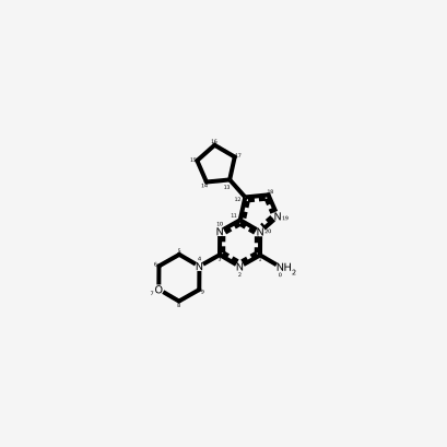 Nc1nc(N2CCOCC2)nc2c(C3CCCC3)cnn12